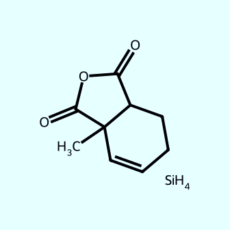 CC12C=CCCC1C(=O)OC2=O.[SiH4]